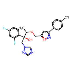 C[C@@H](OCc1cc(-c2ccc(C#N)cc2)no1)[C@](O)(Cn1cncn1)c1ccc(F)cc1F